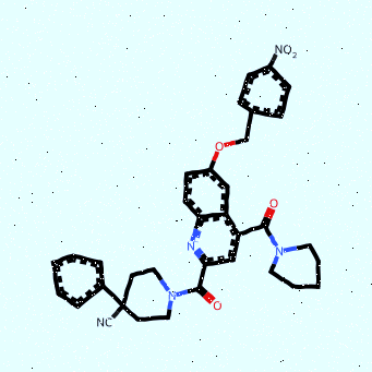 N#CC1(c2ccccc2)CCN(C(=O)c2cc(C(=O)N3CCCCC3)c3cc(OCc4ccc([N+](=O)[O-])cc4)ccc3n2)CC1